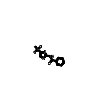 CS(=O)(=O)c1cnc(NC(=O)c2ccccc2)s1